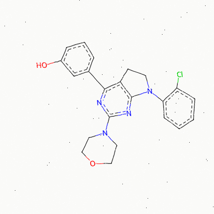 Oc1cccc(-c2nc(N3CCOCC3)nc3c2CCN3c2ccccc2Cl)c1